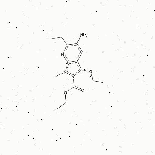 CCOC(=O)c1c(OCC)c2cc(N)c(CC)nc2n1C